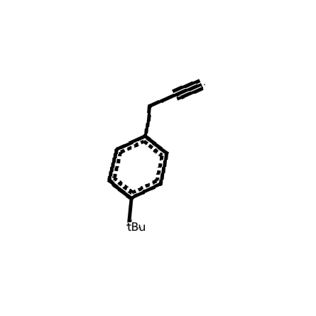 [C]#CCc1ccc(C(C)(C)C)cc1